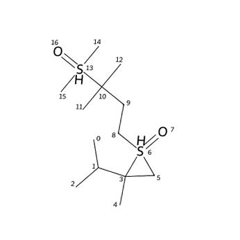 CC(C)C1(C)C[SH]1(=O)CCC(C)(C)[SH](C)(C)=O